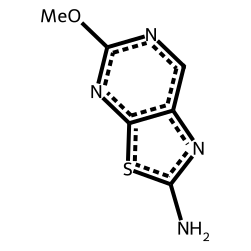 COc1ncc2nc(N)sc2n1